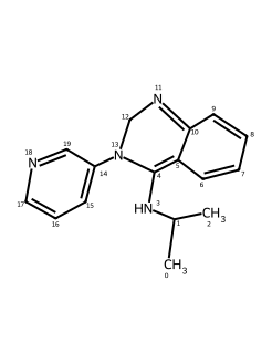 CC(C)NC1=c2ccccc2=NCN1c1cccnc1